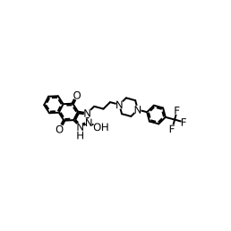 O=c1c2[nH]n(O)n(CCCN3CCN(c4ccc(C(F)(F)F)cc4)CC3)c=2c(=O)c2ccccc12